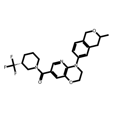 CC1Cc2cc(N3CCOc4cc(C(=O)N5CCC[C@@H](C(F)(F)F)C5)cnc43)ccc2CO1